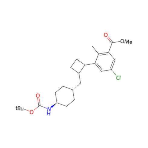 COC(=O)c1cc(Cl)cc(C2CCC2C[C@H]2CC[C@H](NC(=O)OC(C)(C)C)CC2)c1C